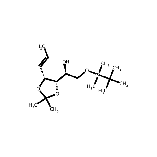 CC=C[C@H]1OC(C)(C)O[C@H]1[C@@H](O)CO[Si](C)(C)C(C)(C)C